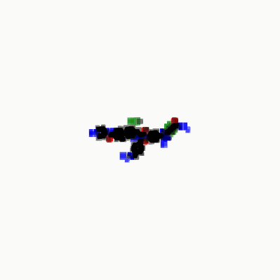 Cc1cc(C(=O)NC2CCNCC2)ccc1-c1ccc(C[C@H](NC(=O)C2CCC(CN)CC2)C(=O)Nc2ccc(-c3nc(C(F)(F)C(F)(F)C(N)=O)n[nH]3)cc2)cc1.Cl